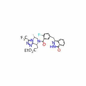 CCOC(=O)CC1c2nnc(C(F)(F)F)n2C(C)CN1C(=O)c1cc(Cc2n[nH]c(=O)c3ccccc23)ccc1F